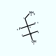 CC(C)(O)C(F)(F)CN